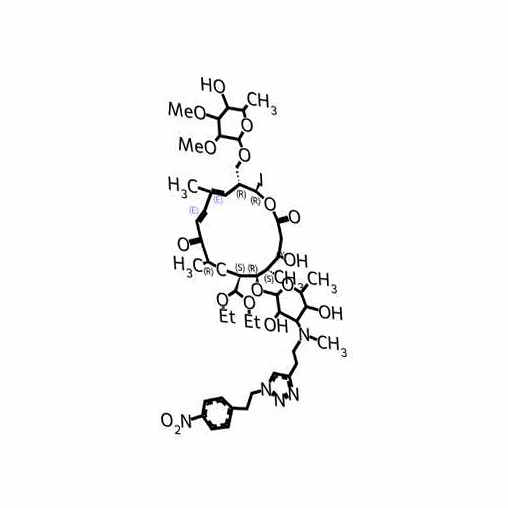 CCOC(OCC)[C@H]1C[C@@H](C)C(=O)/C=C/C(C)=C/[C@H](COC2OC(C)C(O)C(OC)C2OC)[C@@H](I)OC(=O)C[C@@H](O)[C@H](C)[C@H]1OC1OC(C)C(O)C(N(C)CCc2cn(CCc3ccc([N+](=O)[O-])cc3)nn2)C1O